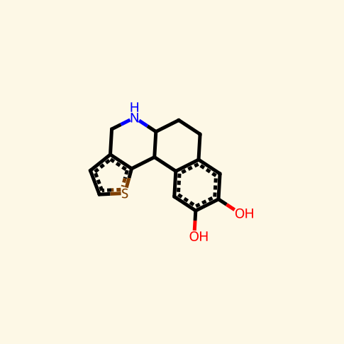 Oc1cc2c(cc1O)C1c3sccc3CNC1CC2